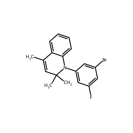 CC1=CC(C)(C)N(c2cc(F)cc(Br)c2)c2ccccc21